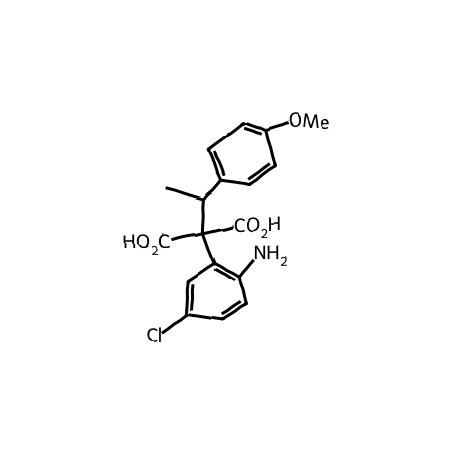 COc1ccc(C(C)C(C(=O)O)(C(=O)O)c2cc(Cl)ccc2N)cc1